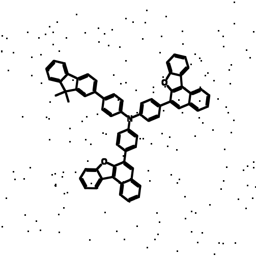 CC1(C)c2ccccc2-c2ccc(-c3ccc(N(c4ccc(-c5cc6ccccc6c6c5oc5ccccc56)cc4)c4ccc(-c5cc6ccccc6c6c5oc5ccccc56)cc4)cc3)cc21